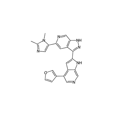 Cc1ncc(-c2cc3c(-c4cc5c(-c6ccoc6)cncc5[nH]4)n[nH]c3cn2)n1C